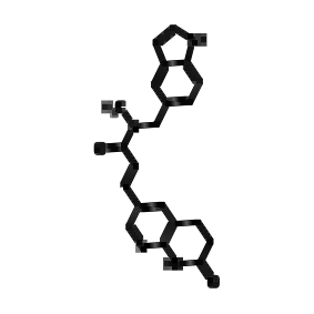 CN(Cc1ccc2[nH]ccc2c1)C(=O)C=Cc1cnc2c(c1)CCC(=O)N2